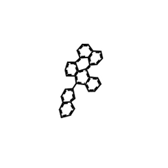 c1ccc2cc(-c3c4ccccc4c4c5cccc6cccc(c7cccc3c74)c65)ccc2c1